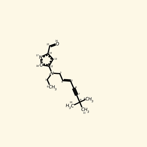 CCN(CC=CC#CC(C)(C)C)c1cc(C=O)no1